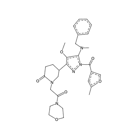 COc1c(C2CCC(=O)N(CC(=O)N3CCOCC3)C2)nn(C(=O)c2coc(C)c2)c1N(C)Cc1ccccc1